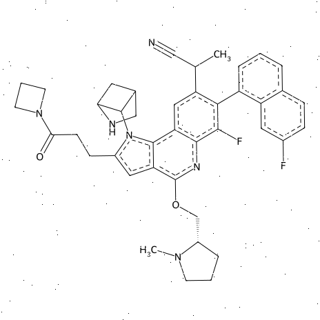 CC(C#N)c1cc2c(nc(OC[C@@H]3CCCN3C)c3cc(CCC(=O)N4CCC4)n(C4C5CNC4C5)c32)c(F)c1-c1cccc2ccc(F)cc12